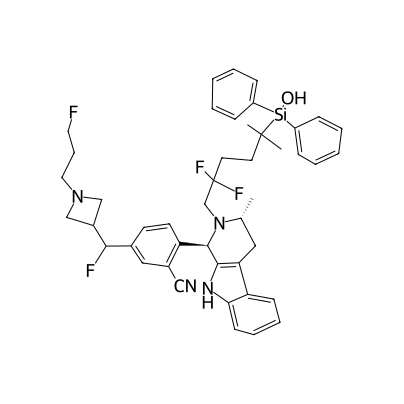 C[C@@H]1Cc2c([nH]c3ccccc23)[C@@H](c2ccc(C(F)C3CN(CCCF)C3)cc2C#N)N1CC(F)(F)CCC(C)(C)[Si](O)(c1ccccc1)c1ccccc1